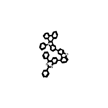 c1ccc(-c2nc(-c3ccccc3)c3ccc(-c4cccc5oc6ccc(-c7ccc8c(c7)c7c9ccccc9c9ccccc9c7n8-c7ccccc7)cc6c45)cc3n2)cc1